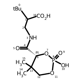 CC(C)(C)C(CNC(=O)[C@@H]1OP(=O)(O)OCC1(C)C)C(=O)O